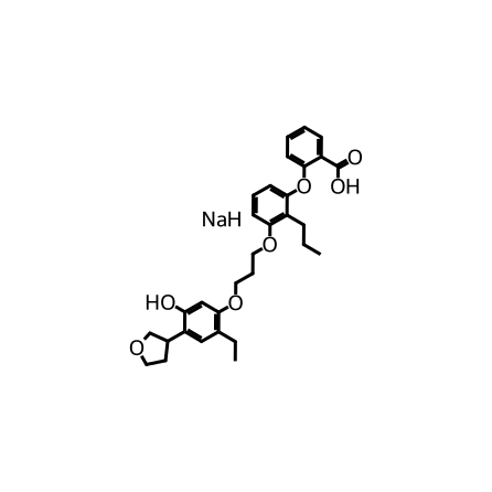 CCCc1c(OCCCOc2cc(O)c(C3CCOC3)cc2CC)cccc1Oc1ccccc1C(=O)O.[NaH]